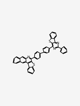 c1ccc(-c2nc(-c3ccc(-c4ccc(-c5nc6cc7ccccc7cc6c6c5sc5ccccc56)cc4)cc3)c3sc4ccccc4c3n2)cc1